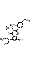 CCC(CC)c1cc(C)n2nc(-c3ccc(OC)cc3C)n(CC3CC3)c(=O)c12